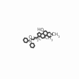 CN1CCC2(C)C(CC(O)C3C4CCC(CCCC(=O)N(C5CCCCC5)C5CCCCC5)C4(C)CCC32)C1